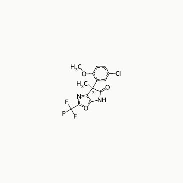 COc1ccc(Cl)cc1[C@@]1(C)C(=O)Nc2oc(C(F)(F)F)nc21